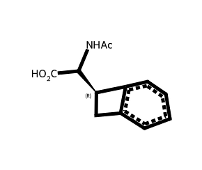 CC(=O)NC(C(=O)O)[C@@H]1Cc2ccccc21